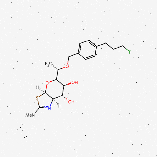 CNC1=N[C@@H]2[C@@H](O)[C@H](O)C([C@@H](OCc3ccc(CCCF)cc3)C(F)(F)F)O[C@@H]2S1